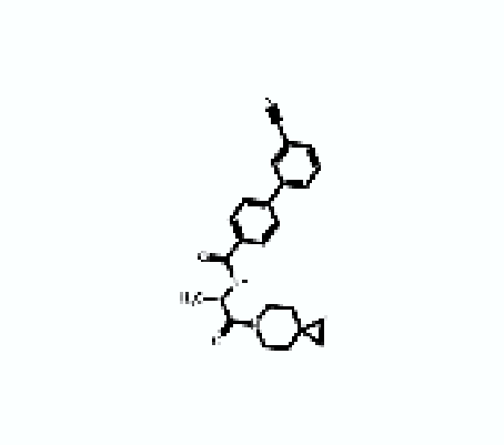 C[C@@H](NC(=O)c1ccc(-c2cccc(C#N)c2)cc1)C(=O)N1CCC2(CC1)CC2